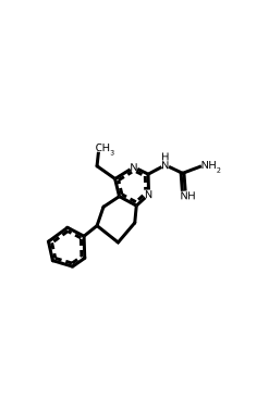 CCc1nc(NC(=N)N)nc2c1CC(c1ccccc1)CC2